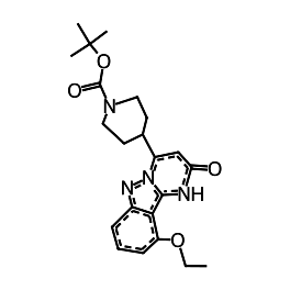 CCOc1cccc2nn3c(C4CCN(C(=O)OC(C)(C)C)CC4)cc(=O)[nH]c3c12